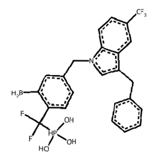 Bc1cc(Cn2cc(Cc3ccccc3)c3cc(C(F)(F)F)ccc32)ccc1C(F)(F)[PH](O)(O)O